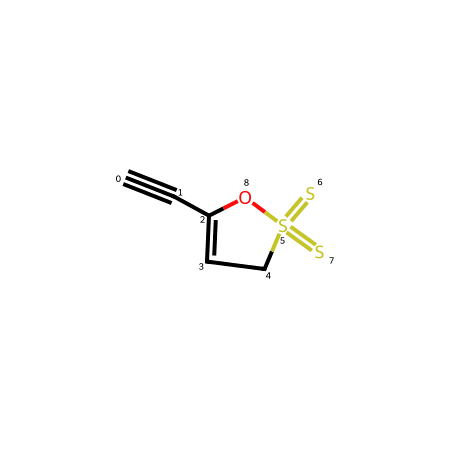 C#CC1=CCS(=S)(=S)O1